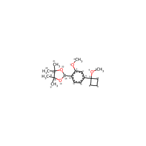 COc1cc(C2(OC)CCC2)ccc1B1OC(C)(C)C(C)(C)O1